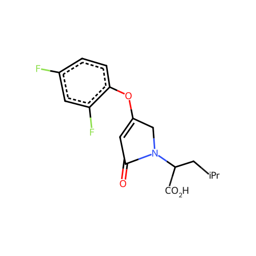 CC(C)CC(C(=O)O)N1CC(Oc2ccc(F)cc2F)=CC1=O